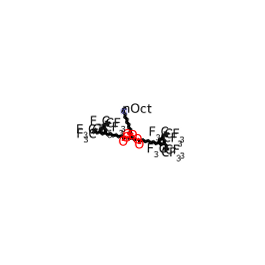 CCCCCCCC/C=C\CCCCCCCC(=O)OC(COC(=O)CCCCCCc1cc(CC(C(F)(F)F)(C(F)(F)F)C(F)(F)F)cc(CC(C(F)(F)F)(C(F)(F)F)C(F)(F)F)c1)COC(=O)CCCCCCc1cc(CC(C(F)(F)F)(C(F)(F)F)C(F)(F)F)cc(CC(C(F)(F)F)(C(F)(F)F)C(F)(F)F)c1